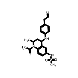 CC(=O)N1c2ccc(NS(C)(=O)=O)cc2C(Nc2ccc(CC=O)cc2)CC1C